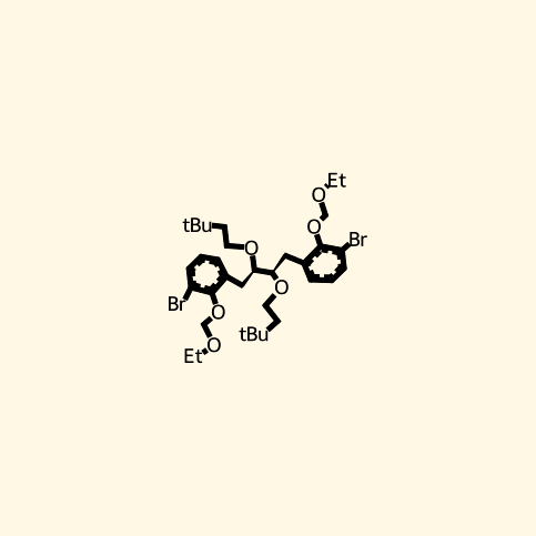 CCOCOc1c(Br)cccc1C[C@@H](OCCC(C)(C)C)[C@@H](Cc1cccc(Br)c1OCOCC)OCCC(C)(C)C